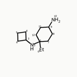 CCC1(NC2CCC2)CCC(N)CC1